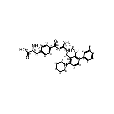 COc1c(-c2cccc(C)c2)ccc(N2CCCCC2)c1CNC(N)=NC(=O)c1ccc(C[C@H](N)C(=O)O)cc1